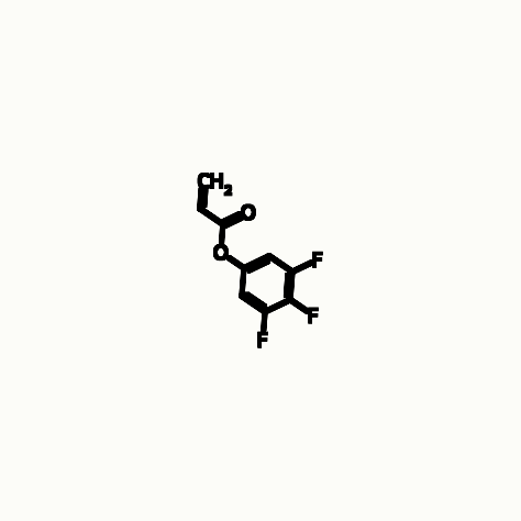 C=CC(=O)Oc1cc(F)c(F)c(F)c1